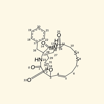 O=C1CC2/C=C/CCSSCC(NC(=O)C(Cc3ccccc3)N1)C(=O)NCCCCCC(=O)O2